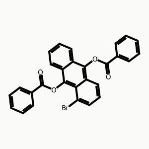 O=C(Oc1c2ccccc2c(OC(=O)c2ccccc2)c2c(Br)cccc12)c1ccccc1